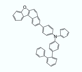 c1ccc(-c2ccccc2-c2ccc(N(c3ccccc3)c3ccc(-c4ccc5c(ccc6oc7ccccc7c65)c4)cc3)cc2)cc1